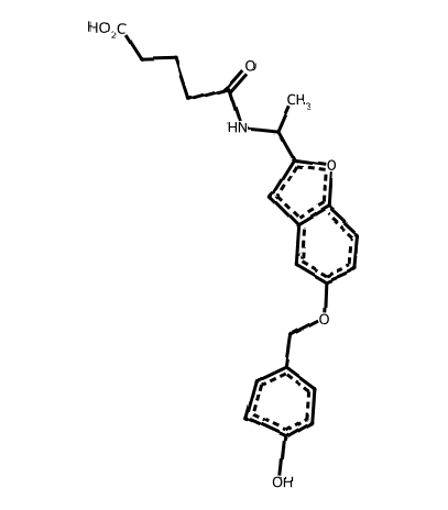 CC(NC(=O)CCCC(=O)O)c1cc2cc(OCc3ccc(O)cc3)ccc2o1